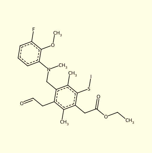 CCOC(=O)Cc1c(C)c(CC=O)c(CN(C)c2cccc(F)c2OC)c(C)c1SI